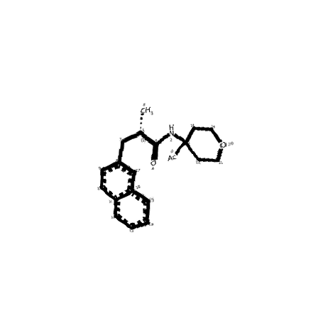 CC(=O)C1(NC(=O)[C@@H](C)Cc2ccc3ccccc3c2)CCOCC1